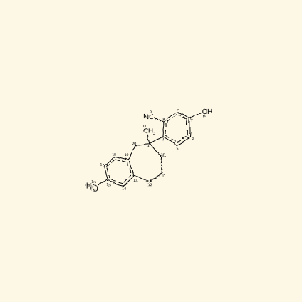 CC1(c2ccc(O)cc2C#N)CCCc2cc(O)ccc2C1